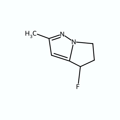 Cc1cc2n(n1)CCC2F